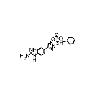 N=C(N)Nc1ccc(-c2cn(OP(=O)(O)OCc3ccccc3)nn2)cc1